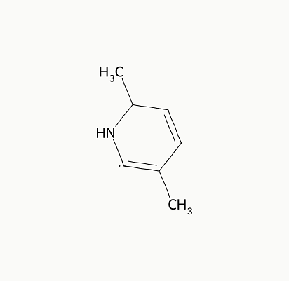 CC1=[C]NC(C)C=C1